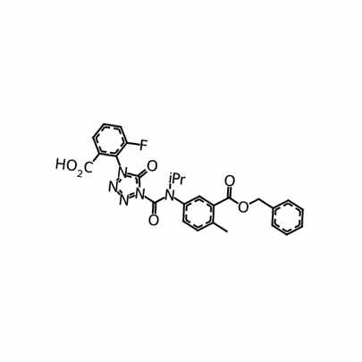 Cc1ccc(N(C(=O)n2nnn(-c3c(F)cccc3C(=O)O)c2=O)C(C)C)cc1C(=O)OCc1ccccc1